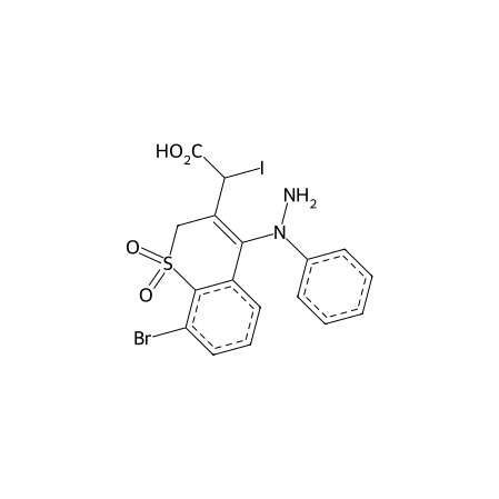 NN(C1=C(C(I)C(=O)O)CS(=O)(=O)c2c(Br)cccc21)c1ccccc1